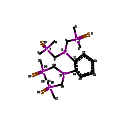 CP(C)(=S)CP(CP(C)(C)=S)c1ccccc1P(CP(C)(C)=S)CP(C)(C)=S